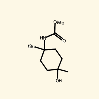 COC(=O)NC1(C(C)(C)C)CCC(C)(O)CC1